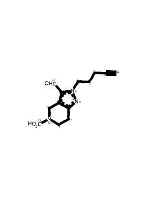 C#CCCCn1nc2c(c1C=O)CN(C(=O)O)CC2